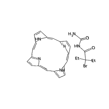 C1=Cc2cc3ccc(cc4nc(cc5ccc(cc1n2)[nH]5)C=C4)[nH]3.CCC(Br)(CC)C(=O)NC(N)=O